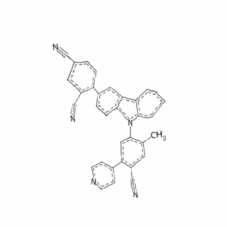 Cc1cc(C#N)c(-c2ccncc2)cc1-n1c2ccccc2c2cc(-c3ccc(C#N)cc3C#N)ccc21